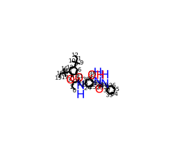 CCC(Oc1ccc(C(C)(C)CC)cc1C(C)(C)CC)C(=O)Nc1ccc(NC(=O)Nc2ccccc2)c(O)c1